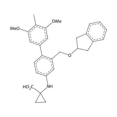 COc1cc(-c2ccc(NC3(C(=O)O)CC3)cc2COC2Cc3ccccc3C2)cc(OC)c1C